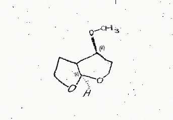 CO[C@H]1CO[C@H]2OCCC21